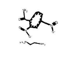 NC(=O)c1ccc([N+](=O)[O-])cc1[N+](=O)[O-].NCCN